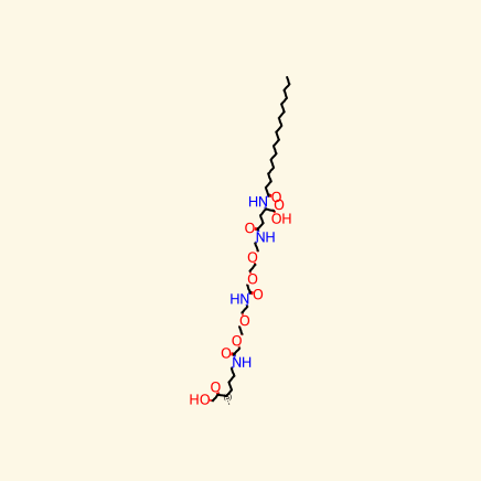 CCCCCCCCCCCCCCCCCC(=O)NC(CCC(=O)NCCOCCOCC(=O)NCCOCCOCC(=O)NCCCC[C@H](C)C(=O)CO)C(=O)O